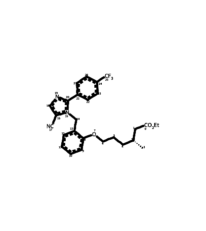 CCOC(=O)C[C@H](C)CCCOc1ccccc1Cn1c(C#N)cnc1-c1ccc(C(F)(F)F)cc1